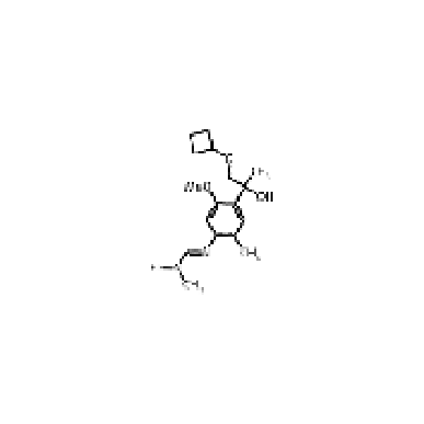 CCN(C)/C=N/c1cc(OC)c(C(O)(COC2CCC2)C(F)(F)F)cc1C